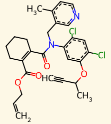 C#CC(C)Oc1cc(N(Cc2cnccc2C)C(=O)C2=C(C(=O)OCC=C)CCCC2)c(Cl)cc1Cl